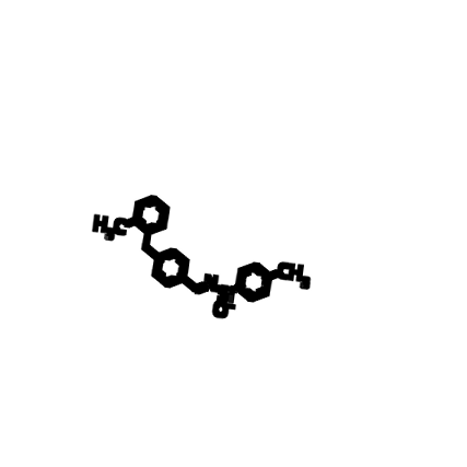 Cc1ccc([S@@+]([O-])N=Cc2ccc(Cc3ccccc3C)cc2)cc1